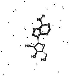 CCNc1ncnc2c1ncn2[C@@H]1O[C@H](CO)[C@@H](O)[C@H]1O